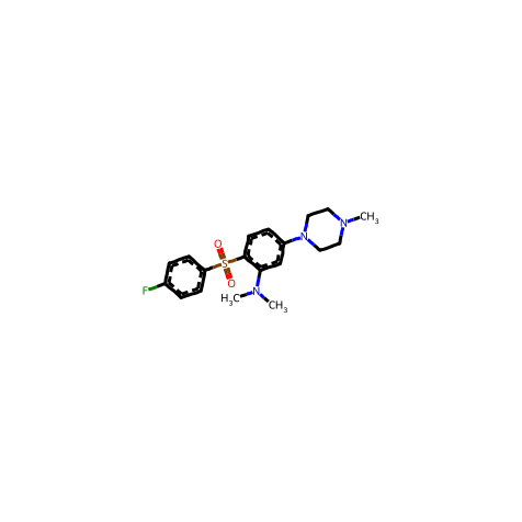 CN1CCN(c2ccc(S(=O)(=O)c3ccc(F)cc3)c(N(C)C)c2)CC1